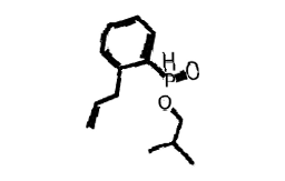 C=CCc1ccccc1[PH](=O)OCC(C)C